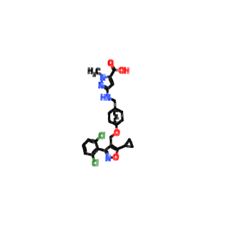 Cn1nc(NCC23CCC(OCc4c(-c5c(Cl)cccc5Cl)noc4C4CC4)(CC2)CC3)cc1C(=O)O